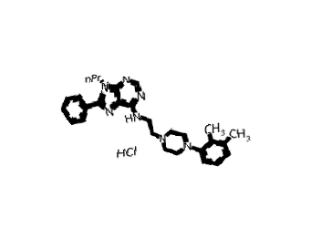 CCCn1c(-c2ccccc2)nc2c(NCCN3CCN(c4cccc(C)c4C)CC3)ncnc21.Cl